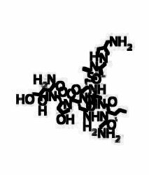 C=C(CN1CCC(CN)C1)NC(=C)[S+]([O-])C[C@H](NC(=O)CNC(=O)[C@@H](NC(=O)CN)[C@@H](C)CC)C(=O)N[C@@H](CC(N)=O)C(=O)N1C[C@H](O)C[C@H]1C(=O)N[C@H](C(N)=O)[C@@H](C)[C@@H](O)CO